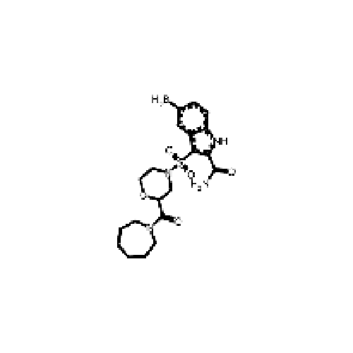 Bc1ccc2[nH]c(C(N)=O)c(S(=O)(=O)N3CCOC(C(=O)N4CCCCCC4)C3)c2c1